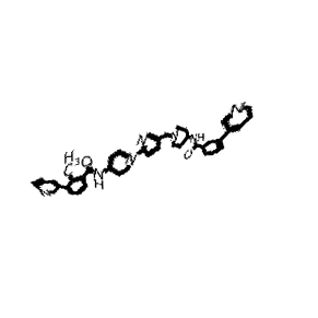 Cc1c(C(=O)NC2CCN(c3ccc(CN4CCC(NC(=O)c5cccc(-c6cccnc6)c5)CC4)cn3)CC2)cccc1-c1cccnc1